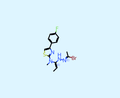 C/C=C(/N/N=C(\C)Br)N(C)c1nc(-c2ccc(F)cc2)cs1